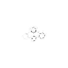 Clc1cccc(-c2cnn(C3CCCCC3)c2-c2cc(Br)cnc2Cl)c1Cl